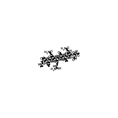 CC(=O)N[C@@H](NCC=O)C(O)N[C@@H](N[C@@H](C=O)CCC(N)=O)C(=O)N[C@@H](N[C@@H](C=O)C(C)C)C(=O)N[C@@H](NCC=O)C(=O)N[C@@H](N[C@@H](C=O)CCCNC(=N)N)C(O)N[C@@H](N[C@@H](C=O)CCC(N)=O)C(=O)N[C@@H](N[C@@H](C=O)CC(C)C)C(=O)N[C@@H](N[C@@H](C)C=O)C(=O)N[C@@H](C)C(=O)NC(C)C